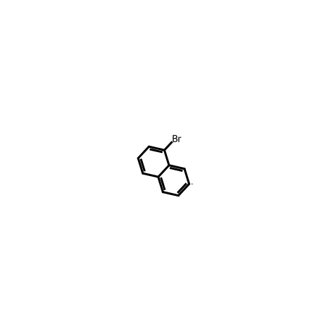 Brc1cccc2cc[c]cc12